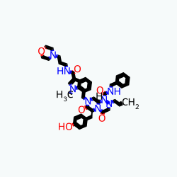 C=CCN1CC(=O)N2[C@@H](Cc3ccc(O)cc3)C(=O)N(Cc3cccc4c(C(=O)NCCCN5CCOCC5)cn(C)c34)C[C@@H]2N1C(=O)NCc1ccccc1